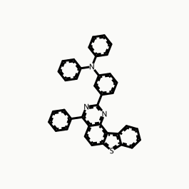 c1ccc(-c2nc(-c3cccc(N(c4ccccc4)c4ccccc4)c3)nc3c2ccc2sc4ccccc4c23)cc1